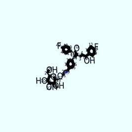 O=C1[C@H](CC[C@H](O)c2ccc(F)cc2)[C@@H](c2ccc(/C=C/COC[C@@H]3O[C@H](CO)[C@@H](O)[C@H](O)[C@H]3O)cc2)N1c1ccc(F)cc1